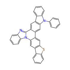 c1ccc(-n2c3ccccc3c3cc4c(cc32)c2cc3sc5ccccc5c3cc2n2c3ccccc3nc42)cc1